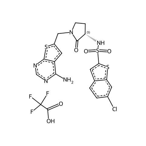 Nc1ncnc2sc(CN3CC[C@H](NS(=O)(=O)c4cc5ccc(Cl)cc5s4)C3=O)cc12.O=C(O)C(F)(F)F